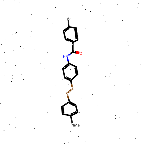 CNc1ccc(SSc2ccc(NC(=O)c3ccc(C(C)=O)cc3)cc2)cc1